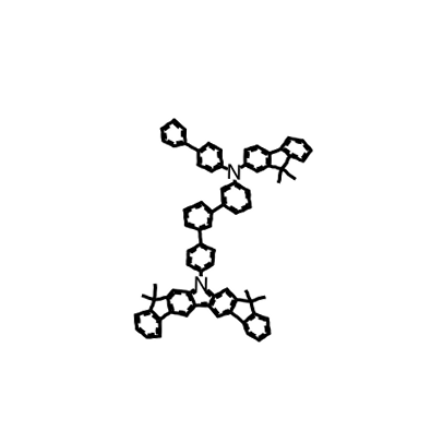 CC1(C)c2ccccc2-c2ccc(N(c3ccc(-c4ccccc4)cc3)c3cccc(-c4cccc(-c5ccc(-n6c7cc8c(cc7c7cc9c(cc76)C(C)(C)c6ccccc6-9)-c6ccccc6C8(C)C)cc5)c4)c3)cc21